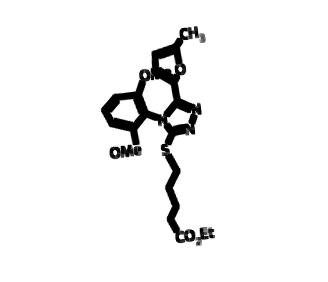 CCOC(=O)CCCCSc1nnc(-c2ccc(C)o2)n1-c1c(OC)cccc1OC